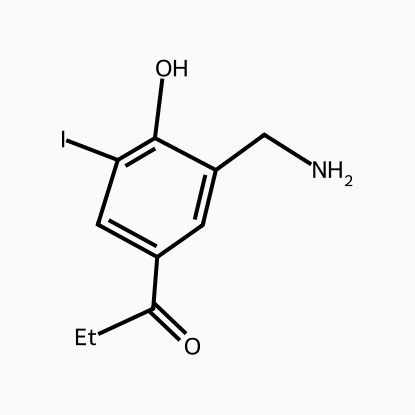 CCC(=O)c1cc(I)c(O)c(CN)c1